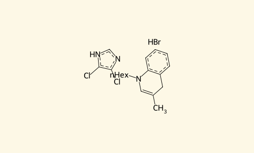 Br.CCCCCCN1C=C(C)Cc2ccccc21.Clc1nc[nH]c1Cl